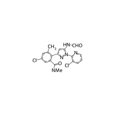 CNC(=O)c1cc(Cl)cc(C)c1-c1cc(NC=O)n(-c2ncccc2Cl)n1